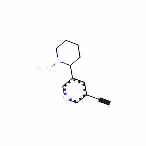 C#Cc1cncc(C2CCCCN2NC)c1